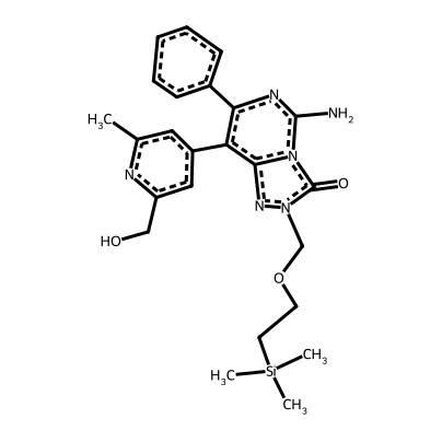 Cc1cc(-c2c(-c3ccccc3)nc(N)n3c(=O)n(COCC[Si](C)(C)C)nc23)cc(CO)n1